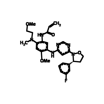 C=CC(=O)Nc1cc(Nc2cc(N3OCC[C@@H]3c3cccc(F)c3)ncn2)c(OC)cc1N(C)CCOC